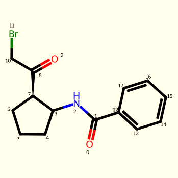 O=C(NC1CCC[C@H]1C(=O)CBr)c1ccccc1